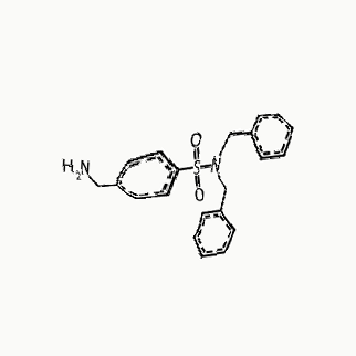 NCc1ccc(S(=O)(=O)N(Cc2ccccc2)Cc2ccccc2)cc1